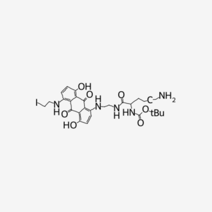 CC(C)(C)OC(=O)NC(CCCCN)C(=O)NCCNc1ccc(O)c2c1C(=O)c1c(O)ccc(NCCI)c1C2=O